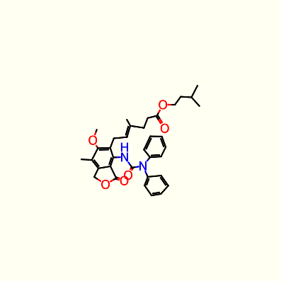 COc1c(C)c2c(c(NC(=O)N(c3ccccc3)c3ccccc3)c1C/C=C(\C)CCC(=O)OCCC(C)C)C(=O)OC2